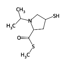 CSC(=O)C1CC(S)CN1C(C)C